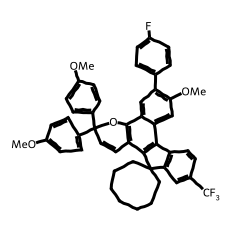 COc1ccc(C2(c3ccc(OC)cc3)C=Cc3c4c(c5cc(OC)c(-c6ccc(F)cc6)cc5c3O2)-c2ccc(C(F)(F)F)cc2C42CCCCCCC2)cc1